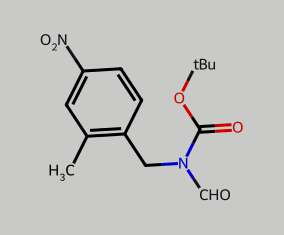 Cc1cc([N+](=O)[O-])ccc1CN(C=O)C(=O)OC(C)(C)C